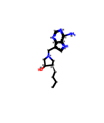 CCCC[C@H]1CN(Cc2c[nH]c3c(N)ncnc23)CC1O